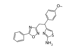 COc1ccc(C(Cc2noc(-c3ccccc3)n2)c2csc(N)n2)cc1